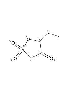 CCC1OS(=O)(=O)CC1=O